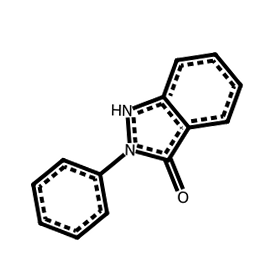 O=c1c2ccccc2[nH]n1-c1ccccc1